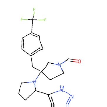 O=CN1CCC(Cc2ccc(C(F)(F)F)cc2)(N2CCCC2c2cnn[nH]2)C1